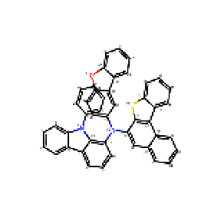 c1ccc(-n2c3ccccc3c3cccc(N(c4ccc5oc6ccccc6c5c4)c4cc5ccccc5c5c4sc4ccccc45)c32)cc1